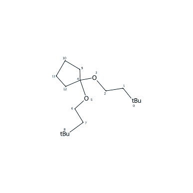 CC(C)(C)CCOC1(OCCC(C)(C)C)CCCC1